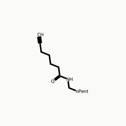 C#CCCCCC(=O)NCCCCCC